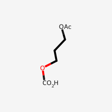 CC(=O)OCCCOC(=O)O